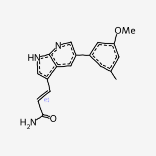 COc1cc(C)cc(-c2cnc3[nH]cc(/C=C/C(N)=O)c3c2)c1